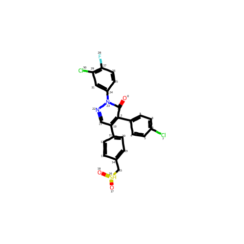 O=c1c(-c2ccc(Cl)cc2)c(-c2ccc(C[SH](=O)=O)cc2)cnn1-c1ccc(F)c(Cl)c1